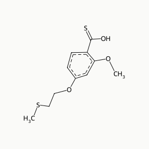 COc1cc(OCCSC)ccc1C(O)=S